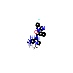 Cc1cccc(-c2nc(Cc3cc4ccccc4cc3C(=O)N(Cc3ccc(F)cc3)c3ccncc3)[nH]c2-c2ccc3nccnc3c2)n1